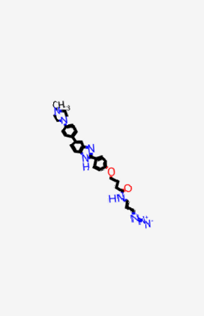 CN1CCN(c2ccc(-c3ccc4[nH]c(-c5ccc(OCCCC(=O)NCCCN=[N+]=[N-])cc5)nc4c3)cc2)CC1